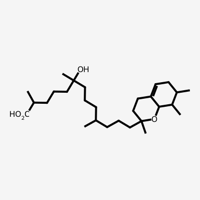 CC(CCCC(C)(O)CCCC(C)C(=O)O)CCCC1(C)CCC2=CCC(C)C(C)C2O1